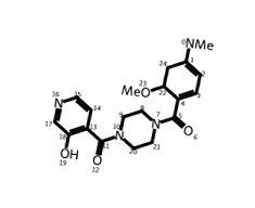 CNC1=CC=C(C(=O)N2CCN(C(=O)c3ccncc3O)CC2)C(OC)C1